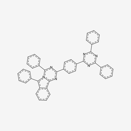 c1ccc(-c2nc(-c3ccccc3)nc(-c3ccc(-c4nc(-c5ccccc5)n5c(-c6ccccc6)c6ccccc6c5n4)cc3)n2)cc1